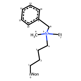 CCCCCCCCCCCCC[N+](C)(CC)Cc1ccccc1